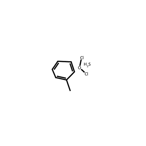 Cc1ccccc1.ClOCl.S